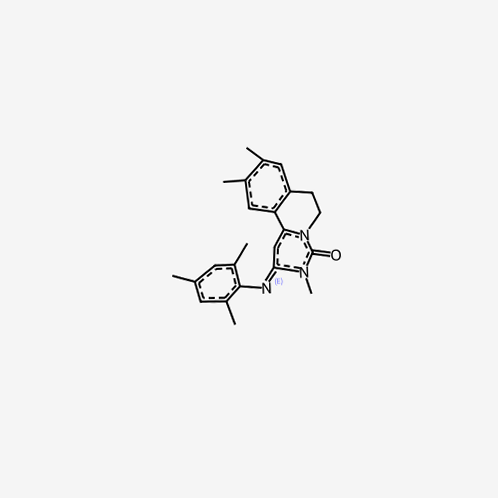 Cc1cc(C)c(/N=c2\cc3n(c(=O)n2C)CCc2cc(C)c(C)cc2-3)c(C)c1